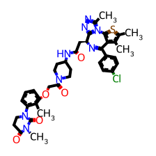 Cc1sc2c(c1C)C(c1ccc(Cl)cc1)=N[C@@H](CC(=O)NC1CCN(C(=O)COc3cccc(N4CCC(=O)N(C)C4=O)c3C)CC1)c1nnc(C)n1-2